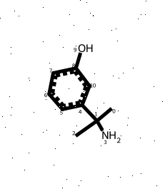 CC(C)(N)c1cccc(O)c1